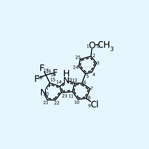 COc1ccc(-c2cc(Cl)cc3c2[nH]c2c(C(F)(F)F)nccc23)cc1